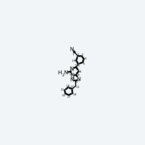 N#Cc1cccc(-c2cc3nc(Cc4ccccc4)nn3c(N)n2)c1